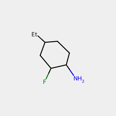 CCC1CCC(N)C(F)C1